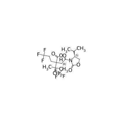 CC(C)[C@H]1COC(=O)N1C(=O)[C@H](CC(F)(F)F)C(CCC(F)(F)F)(C(=O)O)C(C)(C)C